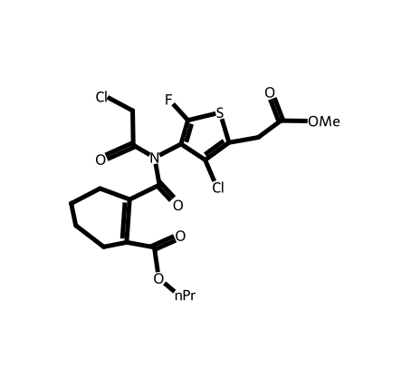 CCCOC(=O)C1=C(C(=O)N(C(=O)CCl)c2c(F)sc(CC(=O)OC)c2Cl)CCCC1